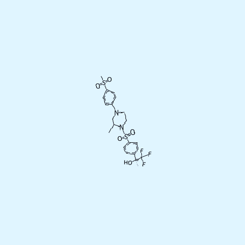 CC1CN(c2ccc(S(C)(=O)=O)cc2)CCN1S(=O)(=O)c1ccc([C@](C)(O)C(F)(F)F)cc1